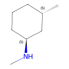 CN[C@H]1CCC[C@H](C)C1